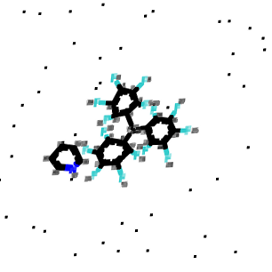 Fc1c(F)c(F)[c]([Sb]([c]2c(F)c(F)c(F)c(F)c2F)[c]2c(F)c(F)c(F)c(F)c2F)c(F)c1F.c1ccncc1